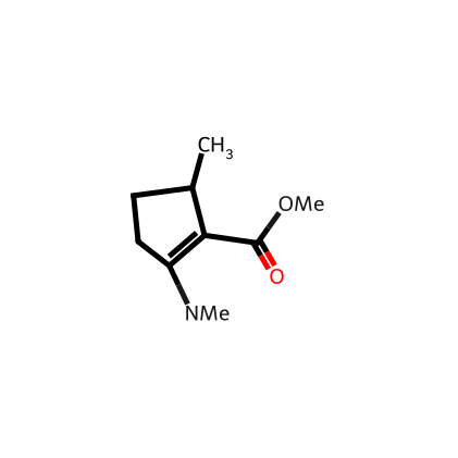 CNC1=C(C(=O)OC)C(C)CC1